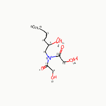 CCCCCCCCCCC(O)CN(C(=O)CO)C(=O)CO